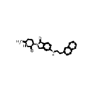 C=C1CCC(N2Cc3cc(NCCc4ccc5ccccc5c4)ccc3C2=O)C(=O)N1